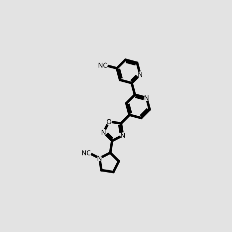 N#Cc1ccnc(-c2cc(-c3nc(C4CCCN4C#N)no3)ccn2)c1